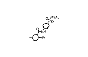 CC(=O)NS(=O)(=O)c1ccc(NC(=O)C2CC(C)CCC2C(C)C)cc1